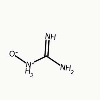 N=C(N)[NH2+][O-]